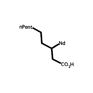 CCCCCCC[CH]([Nd])CC(=O)O